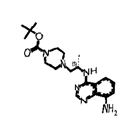 C[C@@H](CN1CCN(C(=O)OC(C)(C)C)CC1)Nc1ncnc2c(N)cccc12